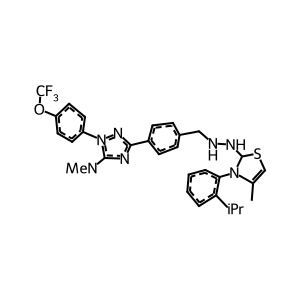 CNc1nc(-c2ccc(CNNC3SC=C(C)N3c3ccccc3C(C)C)cc2)nn1-c1ccc(OC(F)(F)F)cc1